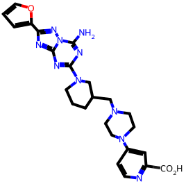 Nc1nc(N2CCCC(CN3CCN(c4ccnc(C(=O)O)c4)CC3)C2)nc2nc(-c3ccco3)nn12